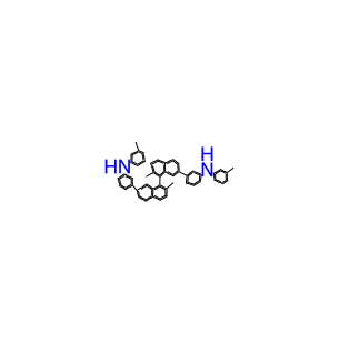 Cc1cccc(Nc2cccc(-c3ccc4ccc(C)c(-c5c(C)ccc6ccc(-c7cccc(Nc8cccc(C)c8)c7)cc56)c4c3)c2)c1